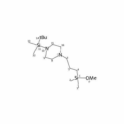 CO[Si](C)(C)CCCN1CCN([Si](C)(C)C(C)(C)C)CC1